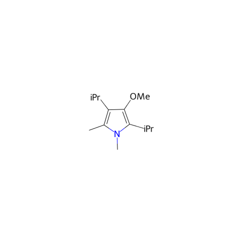 COc1c(C(C)C)c(C)n(C)c1C(C)C